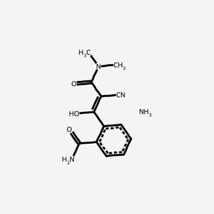 CN(C)C(=O)/C(C#N)=C(\O)c1ccccc1C(N)=O.N